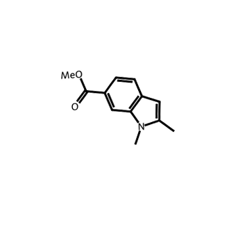 COC(=O)c1ccc2cc(C)n(C)c2c1